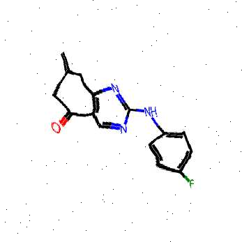 C=C1CC(=O)c2cnc(Nc3ccc(F)cc3)nc2C1